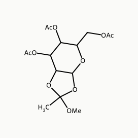 COC1(C)OC2OC(COC(C)=O)C(OC(C)=O)C(OC(C)=O)C2O1